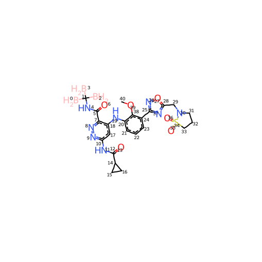 BC(B)(B)NC(=O)c1nnc(NC(=O)C2CC2)cc1Nc1cccc(-c2noc(CN3CCCS3(=O)=O)n2)c1OC